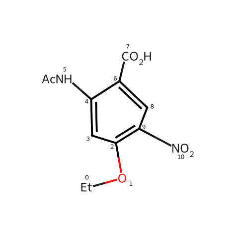 CCOc1cc(NC(C)=O)c(C(=O)O)cc1[N+](=O)[O-]